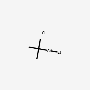 C[CH2][Al+][C](C)(C)C.[Cl-]